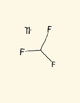 FC(F)F.[Tl]